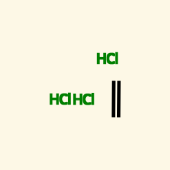 C=C.Cl.Cl.Cl